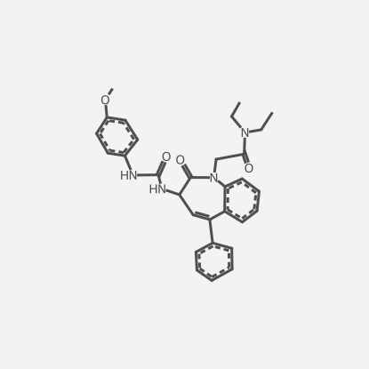 CCN(CC)C(=O)CN1C(=O)C(NC(=O)Nc2ccc(OC)cc2)C=C(c2ccccc2)c2ccccc21